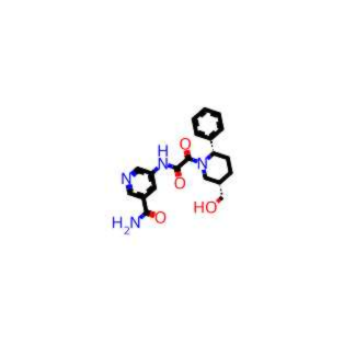 NC(=O)c1cncc(NC(=O)C(=O)N2C[C@@H](CO)CC[C@H]2c2ccccc2)c1